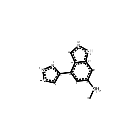 C[SiH2]c1cc(-c2c[nH]nn2)c2cn[nH]c2c1